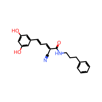 N#C/C(=C\C=C\c1cc(O)cc(O)c1)C(=O)NCCCc1ccccc1